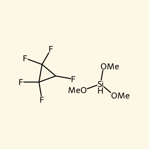 CO[SiH](OC)OC.FC1C(F)(F)C1(F)F